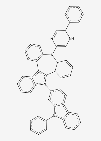 C1=CC2c3c(c4ccccc4n3-c3ccc4c5ccccc5n(-c5ccccc5)c4c3)-c3ccccc3N(C3=CNC(c4ccccc4)C=N3)C2C=C1